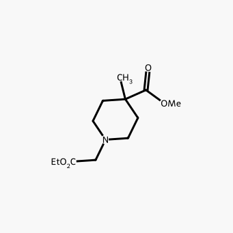 CCOC(=O)CN1CCC(C)(C(=O)OC)CC1